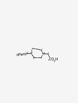 CCCCCN1CCN(CC(=O)O)CC1